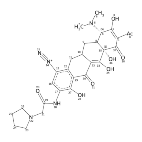 CC(=O)C1=C(O)[C@@H](N(C)C)C2CC3Cc4c([N+]#N)cc(NC(=O)CN5CCCC5)c(O)c4C(=O)C3=C(O)[C@]2(O)C1=O